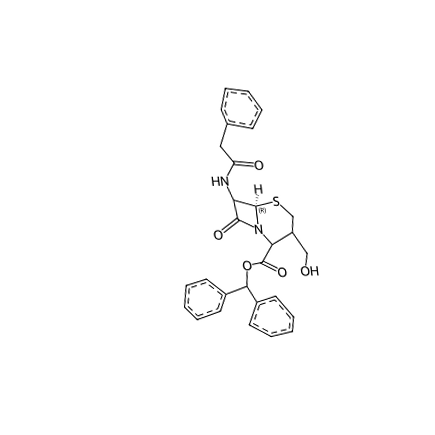 O=C(Cc1ccccc1)NC1C(=O)N2C(C(=O)OC(c3ccccc3)c3ccccc3)C(CO)CS[C@H]12